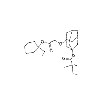 CCC1(OC(=O)COC23CC4CC(C2)CC(OC(=O)C(C)(C)CC)(C4)C3)CCCCC1